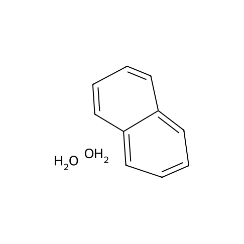 O.O.c1ccc2ccccc2c1